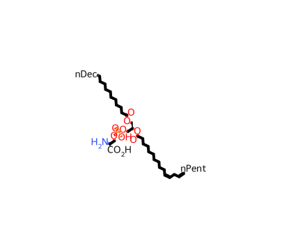 CCCCC/C=C\C/C=C\CCCCCCCCCC(=O)O[C@H](COC(=O)CCCCCCCCCCCCCCCCCCCC)COP(=O)(O)OC[C@H](N)C(=O)O